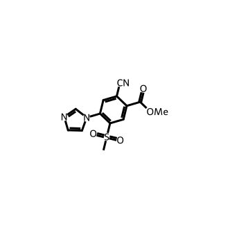 COC(=O)c1cc(S(C)(=O)=O)c(-n2ccnc2)cc1C#N